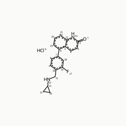 Cl.O=c1ccc2c(-c3ccc(CNC4CC4)c(F)c3)ccnc2[nH]1